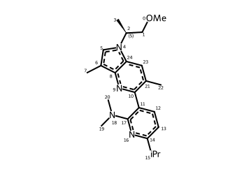 COC[C@H](C)n1cc(C)c2nc(-c3ccc(C(C)C)nc3N(C)C)c(C)cc21